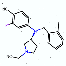 Cc1ccccc1CN(c1ccc(C#N)c(I)c1)[C@H]1CCN(CC#N)C1